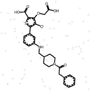 O=C(O)COc1c(C(=O)O)sc(-c2cccc(NCC3CCN(C(=O)Cc4ccccc4)CC3)c2)c1Cl